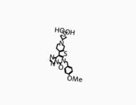 COc1ccc(Cn2c(=O)n3ncnc3c3c4c(sc32)CN(C2CS(O)(O)C2)CC4)cc1